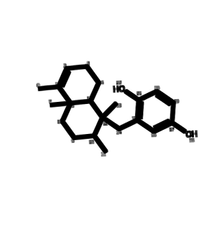 CC1=CCCC2C1(C)CCC(C)C2(C)Cc1cc(O)ccc1O